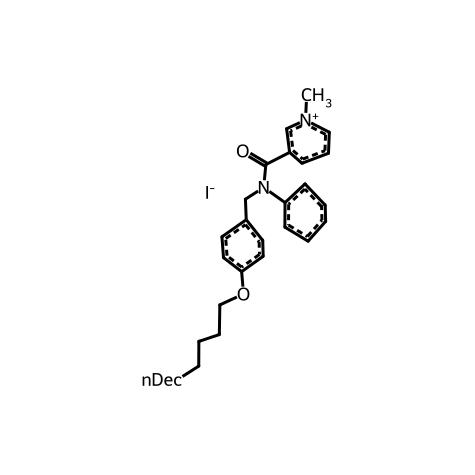 CCCCCCCCCCCCCCOc1ccc(CN(C(=O)c2ccc[n+](C)c2)c2ccccc2)cc1.[I-]